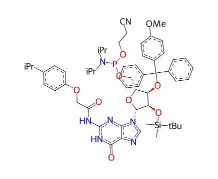 COc1ccc(C(O[C@H]2[C@@H](O[Si](C)(C)C(C)(C)C)[C@H](n3cnc4c(=O)[nH]c(NC(=O)COc5ccc(C(C)C)cc5)nc43)O[C@@H]2COP(OCCC#N)N(C(C)C)C(C)C)(c2ccccc2)c2ccccc2)cc1